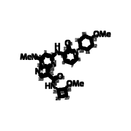 CNc1cc(Nc2cccn([C@H]3CC[C@H](OC)CC3)c2=O)nc2c(C(=O)N[C@H]3CC[C@@H]3OC)cnn12